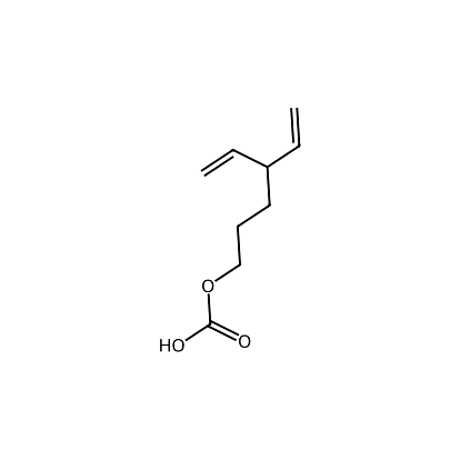 C=CC(C=C)CCCOC(=O)O